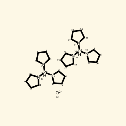 C1CCN([PH+](N2CCCC2)N2CCCC2)C1.C1CCN([PH+](N2CCCC2)N2CCCC2)C1.[O-2]